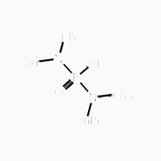 CCCCN(CCCC)P(=O)(Cl)N(CCCC)CCCC